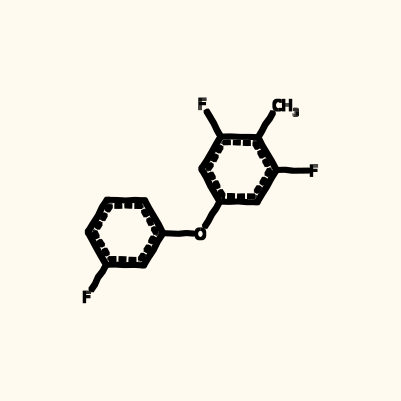 Cc1c(F)cc(Oc2cccc(F)c2)cc1F